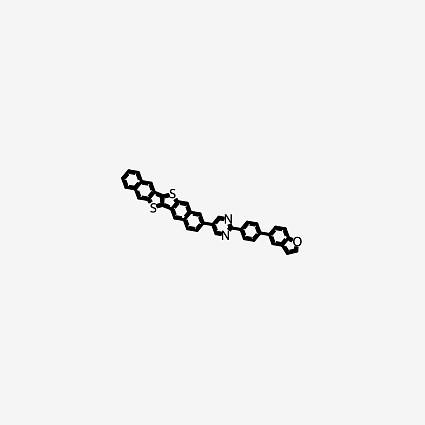 c1ccc2cc3c(cc2c1)sc1c2cc4ccc(-c5cnc(-c6ccc(-c7ccc8occc8c7)cc6)nc5)cc4cc2sc31